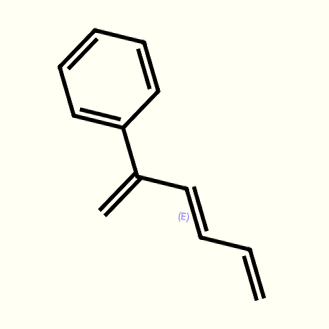 C=C/C=C/C(=C)c1ccccc1